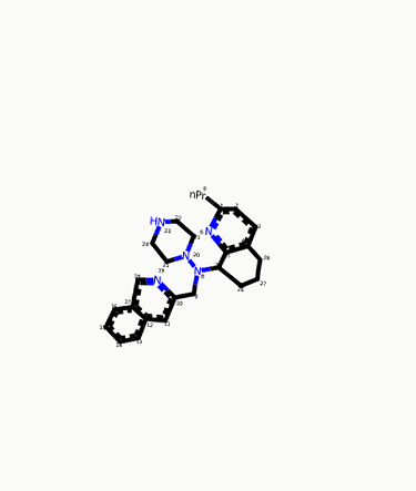 CCCc1ccc2c(n1)C(N(Cc1cc3ccccc3cn1)N1CCNCC1)CCC2